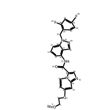 COCCOc1ccn2c(C(=O)Nc3cccc4c3cnn4Cc3ccc(F)cc3F)cnc2c1